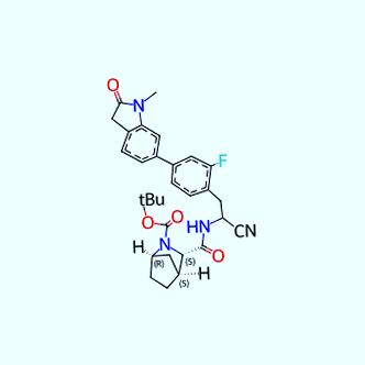 CN1C(=O)Cc2ccc(-c3ccc(CC(C#N)NC(=O)[C@@H]4[C@H]5CC[C@H](C5)N4C(=O)OC(C)(C)C)c(F)c3)cc21